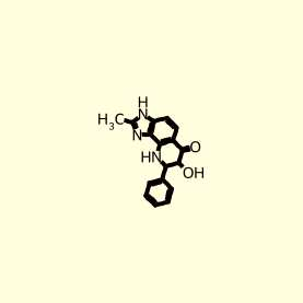 Cc1nc2c3c(ccc2[nH]1)C(=O)C(O)C(c1ccccc1)N3